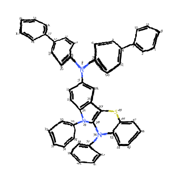 c1ccc(-c2ccc(N(c3ccc(-c4ccccc4)cc3)c3ccc4c(c3)c3c(n4-c4ccccc4)N(c4ccccc4)c4ccccc4S3)cc2)cc1